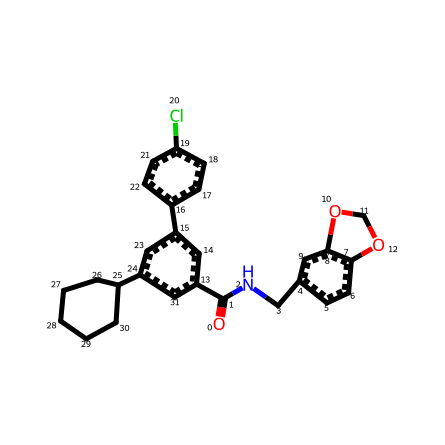 O=C(NCc1ccc2c(c1)OCO2)c1cc(-c2ccc(Cl)cc2)cc(C2CCCCC2)c1